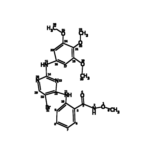 CONC(=O)c1ccccc1Nc1nc(Nc2cc(OC)c(OC)c(OC)c2)ncc1Br